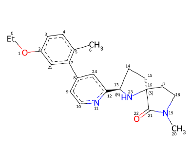 CCOc1ccc(C)c(-c2ccnc([C@H]3CC[C@@]4(CCN(C)C4=O)N3)c2)c1